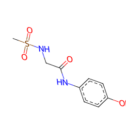 CS(=O)(=O)NCC(=O)Nc1ccc(O)cc1